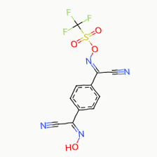 N#CC(=NO)c1ccc(C(C#N)=NOS(=O)(=O)C(F)(F)F)cc1